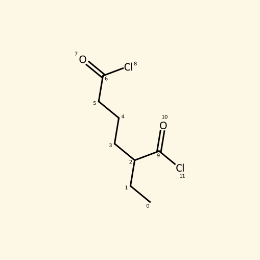 CCC(CCCC(=O)Cl)C(=O)Cl